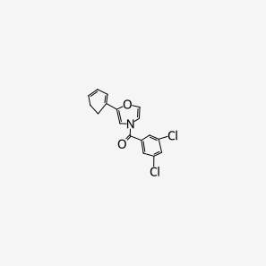 O=C(c1cc(Cl)cc(Cl)c1)N1C=COC(C2=CC=CCC2)=C1